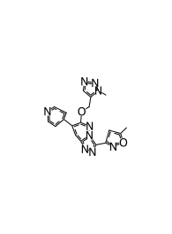 Cc1cc(-c2nnc3cc(-c4ccncc4)c(OCc4cnnn4C)nn23)no1